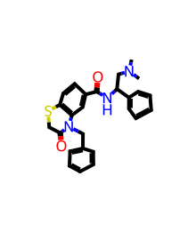 CN(C)CC(NC(=O)c1ccc2c(c1)N(Cc1ccccc1)C(=O)CS2)c1ccccc1